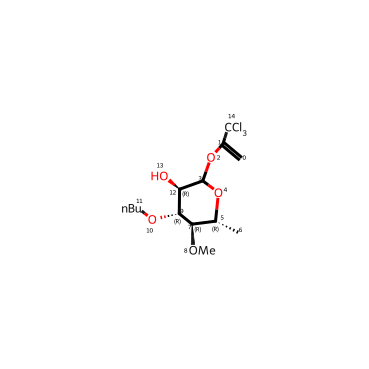 C=C(OC1O[C@H](C)[C@@H](OC)[C@H](OCCCC)[C@H]1O)C(Cl)(Cl)Cl